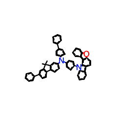 CC1(C)c2cc(-c3ccccc3)ccc2-c2ccc(N(c3ccc(-c4ccccc4)cc3)c3ccc(-n4c5ccccc5c5ccc6oc7ccccc7c6c54)cc3)cc21